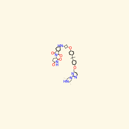 C[C@@H]1CN(c2nccc(COc3ccc(C(C)(C)c4ccc(OC5CC(Nc6ccc7c(c6)C(=O)N(C6CCC(=O)NC6=O)C7=O)C5)cc4)cc3)n2)C[C@H](C)N1